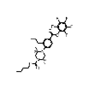 CCCCOC(=O)N1C[C@@H](C)N(c2ccc(C(=O)Oc3c(F)c(F)c(F)c(F)c3F)cc2CCC)C[C@@H]1C